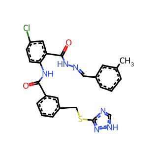 Cc1cccc(C=NNC(=O)c2cc(Cl)ccc2NC(=O)c2cccc(CSc3nc[nH]n3)c2)c1